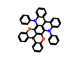 c1ccc(N2c3ccccc3B3c4ccccc4N(c4ccccc4)c4c5c6c(c2c43)Oc2ccccc2B6c2ccccc2S5)cc1